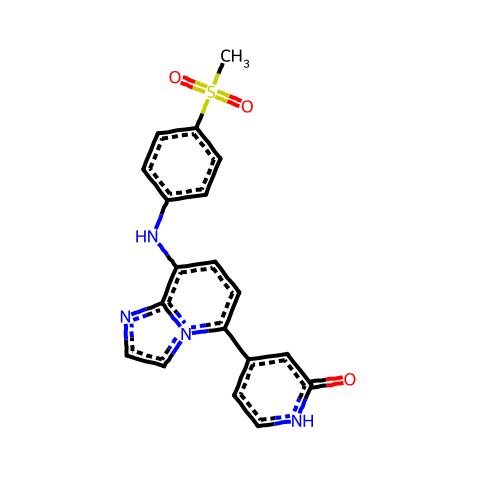 CS(=O)(=O)c1ccc(Nc2ccc(-c3cc[nH]c(=O)c3)n3ccnc23)cc1